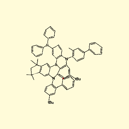 Cc1cc(-c2ccccc2)ccc1N1c2ccc(N(c3ccccc3)c3ccccc3)cc2B2c3cc4c(cc3N(c3ccc(C(C)(C)C)cc3-c3ccccc3)c3cc(C(C)(C)C)cc1c32)C(C)(C)CC4(C)C